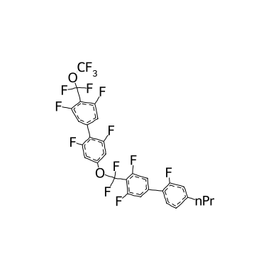 CCCc1ccc(-c2cc(F)c(C(F)(F)Oc3cc(F)c(-c4cc(F)c(C(F)(F)OC(F)(F)F)c(F)c4)c(F)c3)c(F)c2)c(F)c1